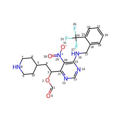 O=COC(CC1CCNCC1)c1ncnc(NCc2ccccc2C(F)(F)F)c1[N+](=O)[O-]